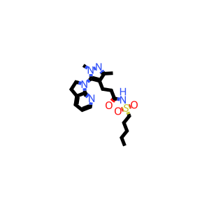 CCCCCS(=O)(=O)NC(=O)CCc1c(C)nn(C)c1N1CCc2cccnc21